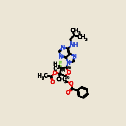 CC(=O)O[C@@]1(C)[C@@H](COC(=O)c2ccccc2)O[C@H](n2cnc3c(NCC(C)C)ncnc32)[C@]1(C)F